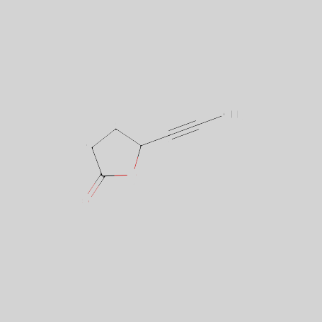 CC#CC1CCC(=O)O1